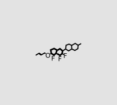 C/C=C/COc1ccc2cc(C3CCC4CC(C)CCC4C3)c(F)c(F)c2c1F